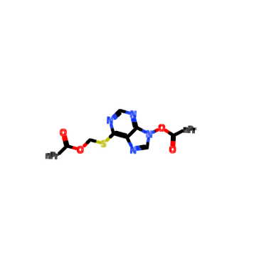 CCCC(=O)OCSc1ncnc2c1ncn2OC(=O)CCC